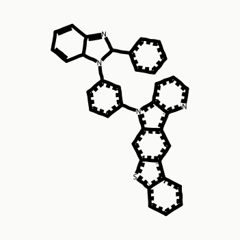 C1=CC2=NC(c3ccccc3)N(c3cccc(-n4c5cc6sc7ccccc7c6cc5c5ncccc54)c3)C2C=C1